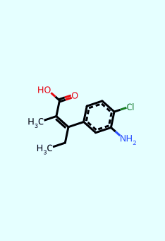 CC/C(=C(\C)C(=O)O)c1ccc(Cl)c(N)c1